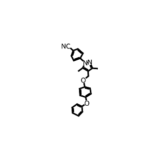 Cc1nn(-c2ccc(C#N)cc2)c(C)c1COc1ccc(Oc2ccccc2)cc1